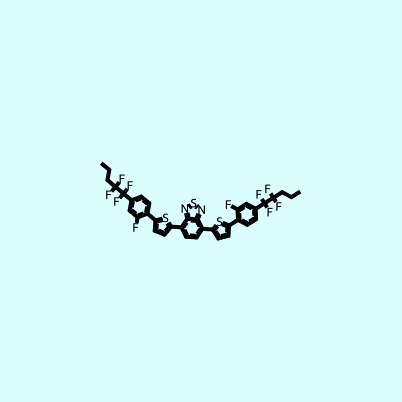 CCCC(F)(F)C(F)(F)c1ccc(-c2ccc(-c3ccc(-c4ccc(-c5ccc(C(F)(F)C(F)(F)CCC)cc5F)s4)c4nsnc34)s2)c(F)c1